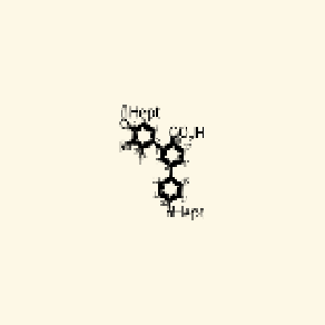 CCCCCCCOc1ccc(-c2cc(-c3ccc(CCCCCCC)cc3)ccc2C(=O)O)c(F)c1F